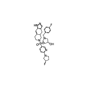 O=S(=O)(c1ccc(N2CC[C@@H](F)C2)nc1)N1CCC2=Cc3[nH]ncc3C[C@@]2(C(c2ccc(F)cc2)N2CC[C@H](O)C2)C1